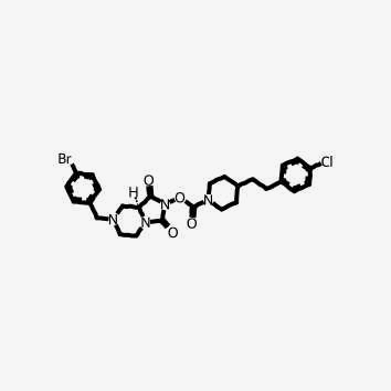 O=C(ON1C(=O)[C@@H]2CN(Cc3ccc(Br)cc3)CCN2C1=O)N1CCC(CCc2ccc(Cl)cc2)CC1